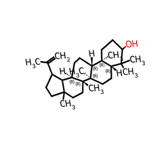 C=C(C)C1CCC2(C)CC[C@]3(C)[C@H](CC[C@@H]4[C@@]5(C)CCC(O)C(C)(C)[C@@H]5CC[C@]43C)C12